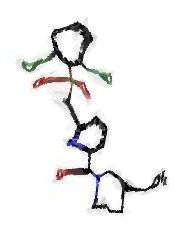 CC1CCCN(C(=O)c2cccc(CS(=O)(=O)c3c(Cl)cccc3Cl)n2)C1